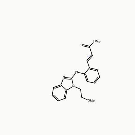 COCCn1c(Nc2ccccc2/C=C/C(=O)OC)nc2ccccc21